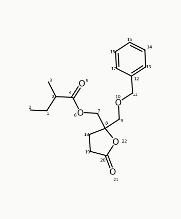 CCC(C)C(=O)OCC1(COCc2ccccc2)CCC(=O)O1